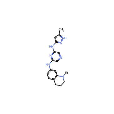 CCN1CCCc2ccc(Nc3cncc(Nc4cc(C)[nH]n4)n3)cc21